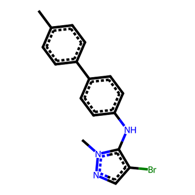 Cc1ccc(-c2ccc(Nc3c(Br)cnn3C)cc2)cc1